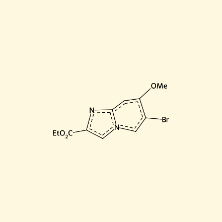 CCOC(=O)c1cn2cc(Br)c(OC)cc2n1